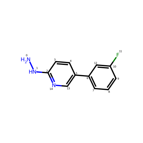 NNc1ccc(-c2cccc(F)c2)cn1